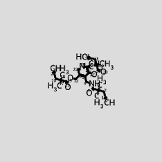 C#CCC(C)(C)C(=O)NCc1c(COC(=O)C(C)(C)CC#C)cnc(C)c1OC(=O)C(C)(C)CC#C